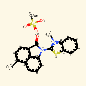 COS(=O)(=O)[O-].C[n+]1c(N2C(=O)c3ccc([N+](=O)[O-])c4cccc2c34)sc2ccccc21